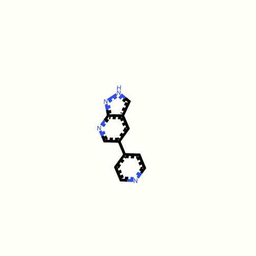 c1cc(-c2cnc3n[nH]cc3c2)ccn1